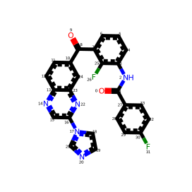 O=C(Nc1cccc(C(=O)c2ccc3ncc(-n4ccnc4)nc3c2)c1F)c1ccc(F)cc1